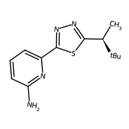 C[C@H](c1nnc(-c2cccc(N)n2)s1)C(C)(C)C